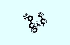 CS(=O)(=O)c1cccc(-c2ccc3c(n2)N(C(=O)Nc2cncc(-c4cnco4)c2)C2CCN3CC2)c1